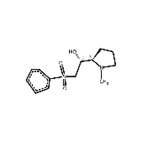 CN1CCC[C@@H]1[C@@H](O)CS(=O)(=O)c1ccccc1